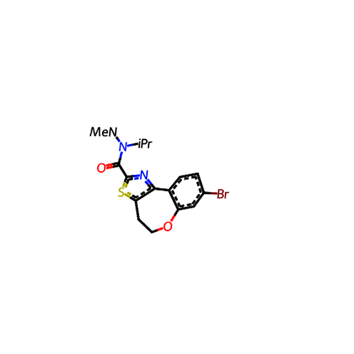 CNN(C(=O)c1nc2c(s1)CCOc1cc(Br)ccc1-2)C(C)C